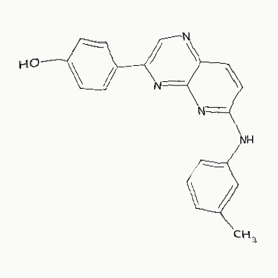 Cc1cccc(Nc2ccc3ncc(-c4ccc(O)cc4)nc3n2)c1